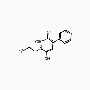 N#C/C(C=O)=C(/C=C(/O)NCCN)c1ccccc1